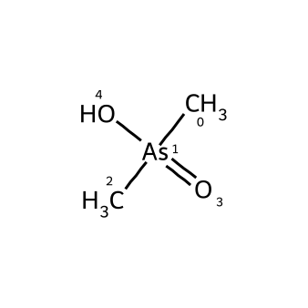 C[As](C)(=O)O